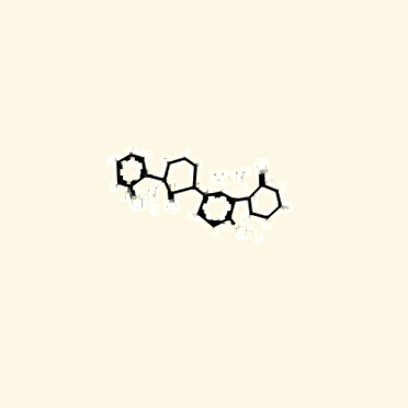 CN[C@@]1(c2cc(C3CCC[C@](NC)(c4ccccc4C)C3=O)ccc2C)CCCCC1=O